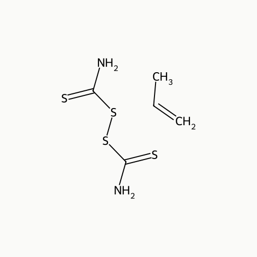 C=CC.NC(=S)SSC(N)=S